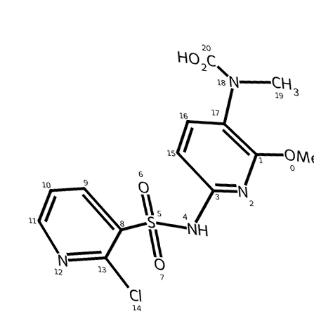 COc1nc(NS(=O)(=O)c2cccnc2Cl)ccc1N(C)C(=O)O